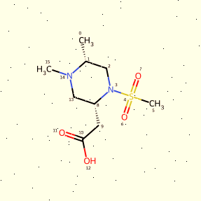 C[C@@H]1CN(S(C)(=O)=O)[C@H](CC(=O)O)CN1C